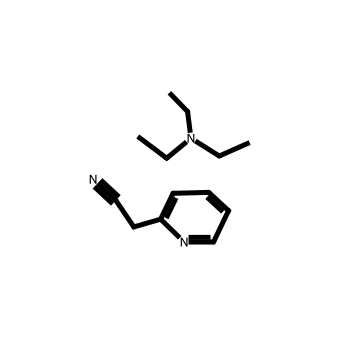 CCN(CC)CC.N#CCc1ccccn1